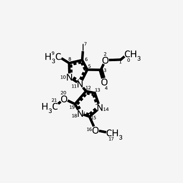 CCOC(=O)c1c(I)c(C)nn1-c1cnc(OC)nc1OC